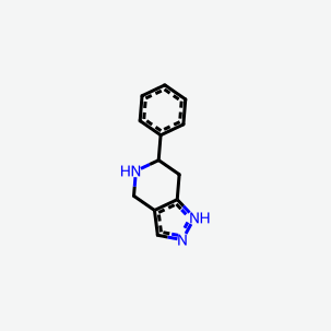 c1ccc(C2Cc3[nH]ncc3CN2)cc1